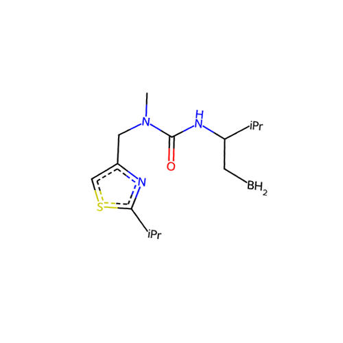 BCC(NC(=O)N(C)Cc1csc(C(C)C)n1)C(C)C